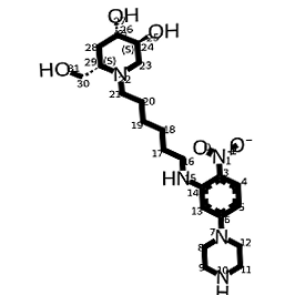 O=[N+]([O-])c1ccc(N2CCNCC2)cc1NCCCCCCN1C[C@H](O)[C@@H](O)C[C@H]1CO